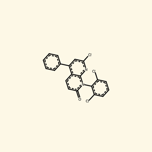 O=c1ccc2c(-c3ccccc3)cc(Cl)nc2n1-c1c(Cl)cccc1Cl